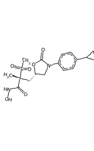 C[C@@](C[C@H]1CN(c2ccc(C3CC3)cc2)C(=O)O1)(C(=O)NO)S(C)(=O)=O